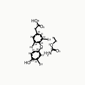 CCOC(N)=O.O=C(O)Cc1cc(I)c(Oc2ccc(O)c(I)c2)c(I)c1